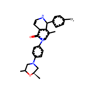 Cc1cn(-c2ccc(N3CC(C)O[C@H](C)C3)cc2)c(=O)c2c1C(c1ccc(C(F)(F)F)cc1)NC=C2